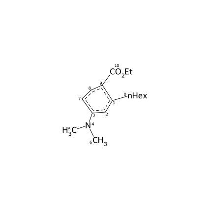 CCCCCCc1cc(N(C)C)ccc1C(=O)OCC